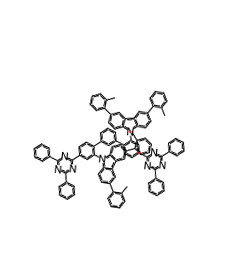 Cc1ccccc1-c1ccc2c(c1)c1cc(-c3ccccc3C)ccc1n2-c1cc(-c2nc(-c3ccccc3)nc(-c3ccccc3)n2)ccc1-c1cccc(-c2ccc(-c3nc(-c4ccccc4)nc(-c4ccccc4)n3)cc2-n2c3ccc(-c4ccccc4C)cc3c3cc(-c4ccccc4C)ccc32)c1